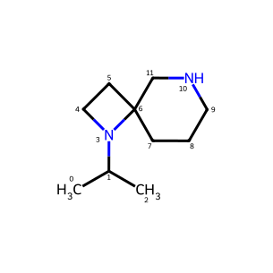 CC(C)N1CCC12CCCNC2